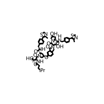 Cc1ncsc1-c1ccc(CNC(=O)[C@@H]2C[C@@H](Oc3ccc4c(c3)C(=O)N([C@H](C(=O)N3C[C@H](O)C[C@H]3C(=O)NCc3ccc(-c5scnc5C)cc3)[C@H](C)O)C4)CN2C(=O)[C@@H](NC(=O)CCC(C)C)[C@H](C)O)cc1